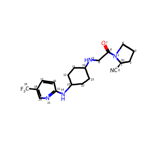 N#C[C@@H]1CCCN1C(=O)CNC1CCC(Nc2ccc(C(F)(F)F)cn2)CC1